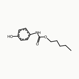 CCCCCOC(=O)Nc1ccc(O)cc1